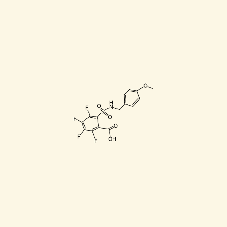 COc1ccc(CNS(=O)(=O)c2c(F)c(F)c(F)c(F)c2C(=O)O)cc1